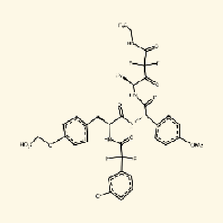 COc1ccc([C@H](NC(=O)[C@H](Cc2ccc(OCC(=O)O)cc2)NC(=O)C(F)(F)c2cccc(Cl)c2)C(=O)N[C@H](C(=O)C(F)(F)C(=O)NCC(F)(F)F)C(C)C)cc1